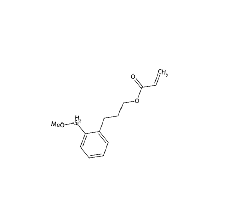 C=CC(=O)OCCCc1ccccc1[SiH2]OC